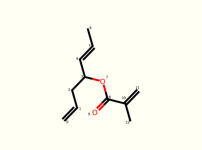 C=CCC(/C=C/C)OC(=O)C(=C)C